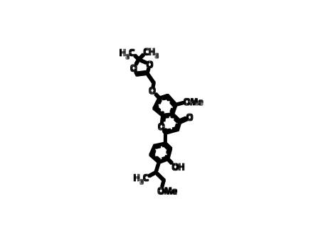 COCC(C)c1ccc(-c2cc(=O)c3c(OC)cc(OCC4=COC(C)(C)O4)cc3o2)cc1O